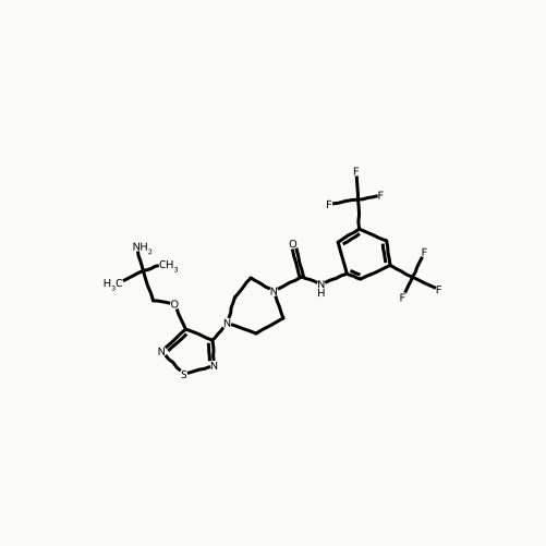 CC(C)(N)COc1nsnc1N1CCN(C(=O)Nc2cc(C(F)(F)F)cc(C(F)(F)F)c2)CC1